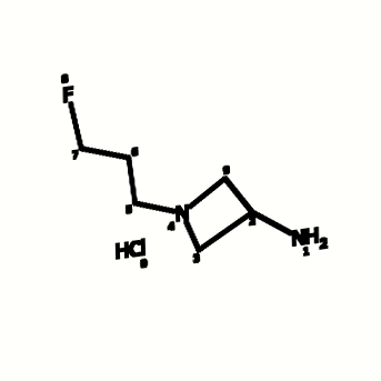 Cl.NC1CN(CCCF)C1